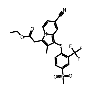 CCOC(=O)Cc1c(C)c(Sc2ccc(S(C)(=O)=O)cc2C(F)(F)F)c2cc(C#N)ccn12